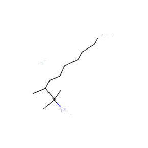 CCCCCCCCCCCCCCC(C)C(C)(C)N.F